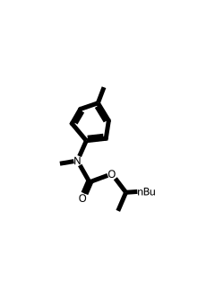 [CH2]CCCC(C)OC(=O)N(C)c1ccc(C)cc1